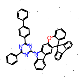 c1ccc(-c2ccc(-c3nc(-c4ccccc4)nc(-n4c5ccccc5c5cc6c(cc54)Oc4ccccc4C64c5ccccc5-c5ccccc54)n3)cc2)cc1